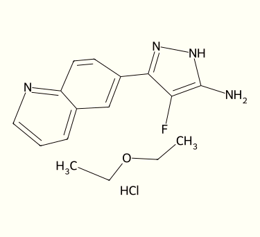 CCOCC.Cl.Nc1[nH]nc(-c2ccc3ncccc3c2)c1F